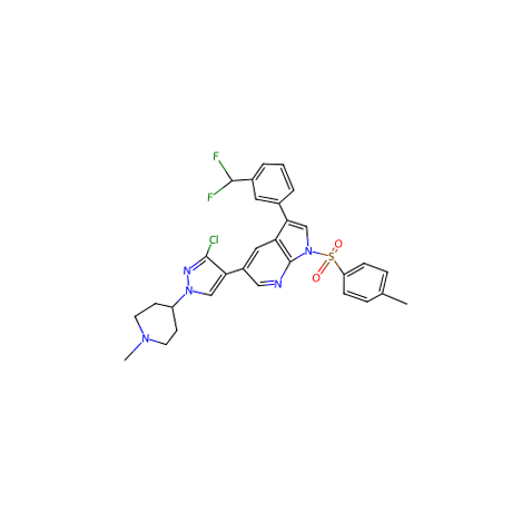 Cc1ccc(S(=O)(=O)n2cc(-c3cccc(C(F)F)c3)c3cc(-c4cn(C5CCN(C)CC5)nc4Cl)cnc32)cc1